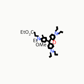 C=CCN(CC=C)c1ccc2c(-c3cc(C)c(N(CC)CCCC(=O)OCC)cc3OC)c3ccc(=[N+](CC=C)CC=C)cc-3oc2c1